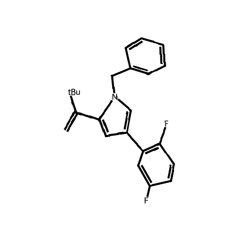 C=C(c1cc(-c2cc(F)ccc2F)cn1Cc1ccccc1)C(C)(C)C